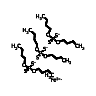 CCCCOP(=S)([S-])OCCCC.CCCCOP(=S)([S-])OCCCC.CCCCOP(=S)([S-])OCCCC.[Fe+3]